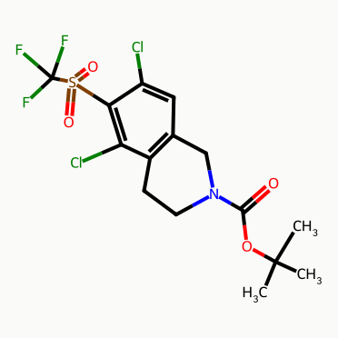 CC(C)(C)OC(=O)N1CCc2c(cc(Cl)c(S(=O)(=O)C(F)(F)F)c2Cl)C1